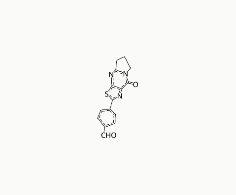 O=Cc1ccc(-c2nc3c(=O)n4c(nc3s2)CCC4)cc1